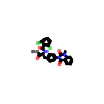 COC(=O)[C@H](Cc1ccc(-n2c(=O)c3ccccc3n(C)c2=O)cc1)NC(=O)c1c(Cl)cccc1Cl